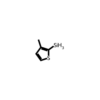 Cc1ccsc1[SiH3]